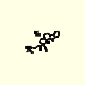 CS(=O)(=O)NCCN[C@]1(C#N)CCN2CCc3c(oc4ccccc34)[C@@H]2C1.Cl.Cl